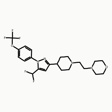 FC(F)c1cc(C2CCN(CCN3CCOCC3)CC2)nn1-c1ccc(OC(F)(F)F)cc1